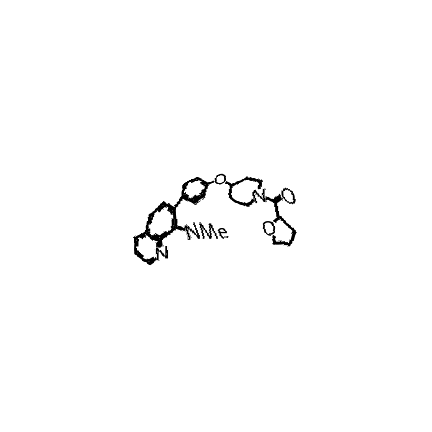 CNc1c(-c2ccc(OC3CCN(C(=O)C4CCCO4)CC3)cc2)ccc2cccnc12